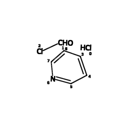 Cl.O=CCl.c1ccncc1